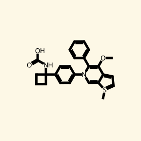 COC1=C(c2ccccc2)N(c2ccc(C3(NC(=O)O)CCC3)cc2)C=C2C1=CC=S2C